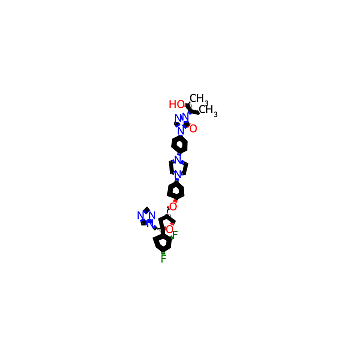 CCC([C@@H](C)O)n1ncn(-c2ccc(N3CCN(c4ccc(OC[C@@H]5CO[C@@](Cn6cncn6)(c6ccc(F)cc6F)C5)cc4)CC3)cc2)c1=O